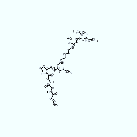 CCCC(CNCCNCCNC(CO)CNC(CNCC)C(C)C)NCC1CCCN1C(=O)CNC(=O)CNC(=O)CON